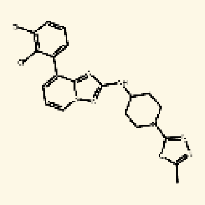 Cc1nnc(N2CCC(Nc3nc4c(-c5cccc(Cl)c5Cl)cccn4n3)CC2)o1